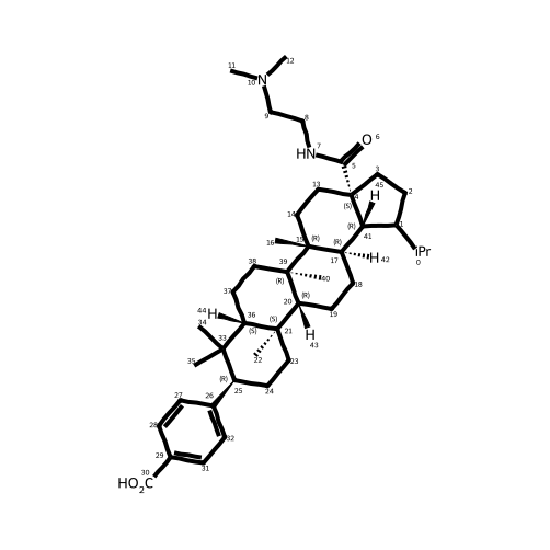 CC(C)C1CC[C@]2(C(=O)NCCN(C)C)CC[C@]3(C)[C@H](CC[C@@H]4[C@@]5(C)CC[C@@H](c6ccc(C(=O)O)cc6)C(C)(C)[C@@H]5CC[C@]43C)[C@@H]12